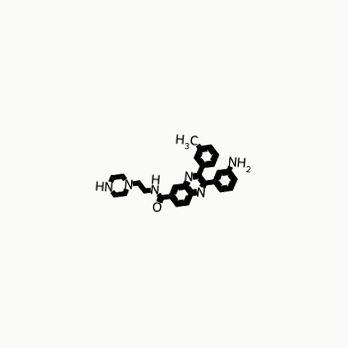 Cc1cccc(-c2nc3cc(C(=O)NCCN4CCNCC4)ccc3nc2-c2cccc(N)c2)c1